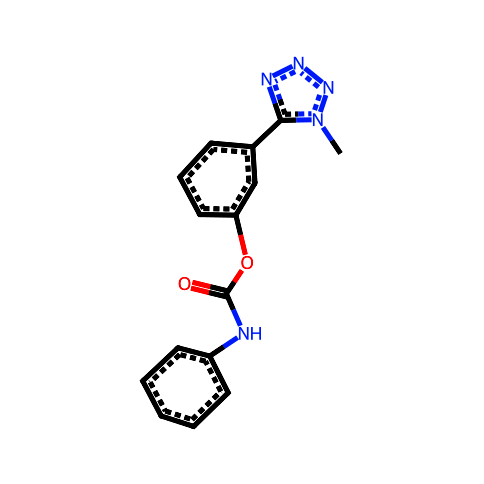 Cn1nnnc1-c1cccc(OC(=O)Nc2ccccc2)c1